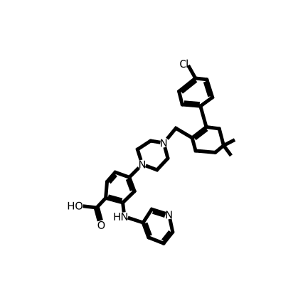 CC1(C)CCC(CN2CCN(c3ccc(C(=O)O)c(Nc4cccnc4)c3)CC2)=C(c2ccc(Cl)cc2)C1